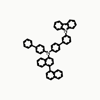 c1ccc(-c2ccc(N(c3ccc(-c4cccc(-n5c6ccccc6c6ccccc65)c4)cc3)c3ccc(-c4cccc5ccccc45)c4ccccc34)cc2)cc1